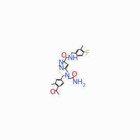 CC(=O)c1ccc([C@H](C)N(CC(N)=O)Cc2cc(C(=O)NCc3ccc(F)c(C)c3)ncn2)cc1C